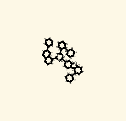 c1ccc(-c2ccc3cccc(-c4nc(-c5ccc6c(c5)oc5cccc(-c7ccccc7)c56)nc(-c5ccccc5-c5ccccc5)n4)c3c2)cc1